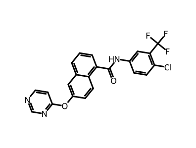 O=C(Nc1ccc(Cl)c(C(F)(F)F)c1)c1cccc2cc(Oc3ccncn3)ccc12